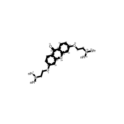 CCCN(CCC)CCOc1ccc2c(=O)c3ccc(OCCN(CCC)CCC)cc3oc2c1